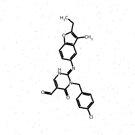 CCc1oc2ccc(/N=c3\[nH]cc(C=O)c(=O)n3Cc3ccc(Cl)cc3)cc2c1C